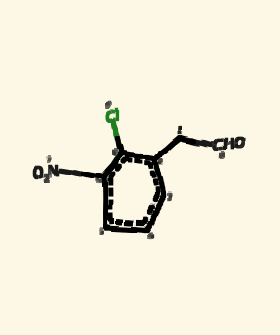 O=CCc1cccc([N+](=O)[O-])c1Cl